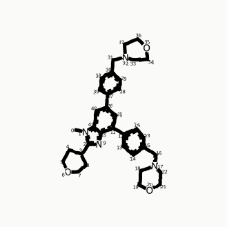 Cn1c(C2CCOCC2)nc2c(-c3ccc(CN4CCOCC4)cc3)cc(-c3ccc(CN4CCOCC4)cc3)cc21